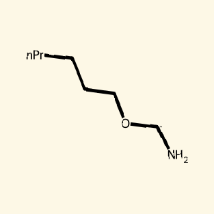 CCCCCCO[CH]N